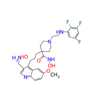 COc1ccc2ncc(CN)c([C@H](O)CCC3(C(=O)NO)CCN(CCNc4cc(F)cc(F)c4F)CC3)c2c1